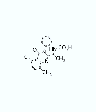 Cc1ccc(Cl)c2c(=O)n(-c3ccccc3)c(C(C)NC(=O)O)nc12